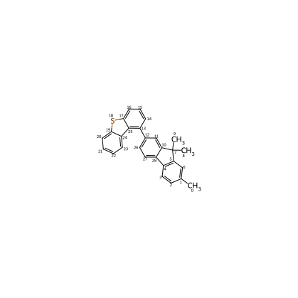 Cc1ccc2c(c1)C(C)(C)c1cc(-c3cccc4sc5ccccc5c34)ccc1-2